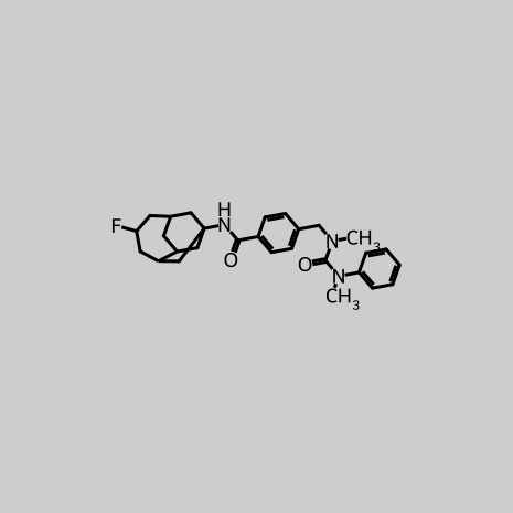 CN(Cc1ccc(C(=O)NC23CC4CC(F)CC(C2)C(C4)C3)cc1)C(=O)N(C)c1ccccc1